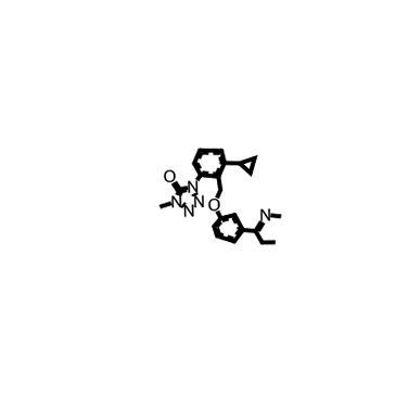 CCC(=NC)c1cccc(OCc2c(C3CC3)cccc2-n2nnn(C)c2=O)c1